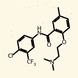 Cc1ccc(OCCN(C)C)c(C(=O)Nc2ccc(Cl)c(C(F)(F)F)c2)c1